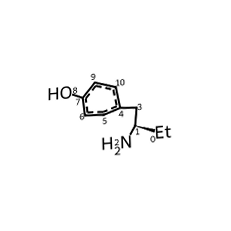 CC[C@@H](N)Cc1ccc(O)cc1